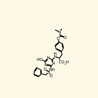 CN(C)C(=O)Oc1ccc(C[C@H](Nc2nc(O)nc(NS(=O)(=O)Cc3ccccc3)n2)C(=O)O)cc1